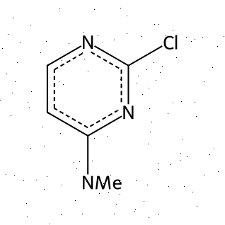 CNc1ccnc(Cl)n1